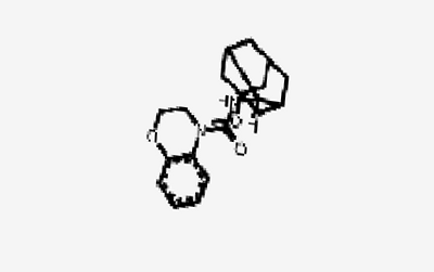 CO[C@]12CC3CC(C1)[C@@H](NC(=O)N1CCOc4ccccc41)C(C3)C2